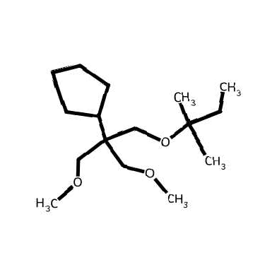 CCC(C)(C)OCC(COC)(COC)C1CCCC1